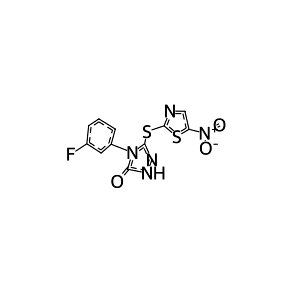 O=c1[nH]nc(Sc2ncc([N+](=O)[O-])s2)n1-c1cccc(F)c1